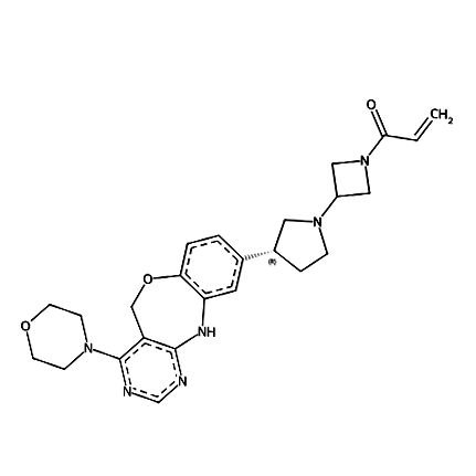 C=CC(=O)N1CC(N2CC[C@H](c3ccc4c(c3)Nc3ncnc(N5CCOCC5)c3CO4)C2)C1